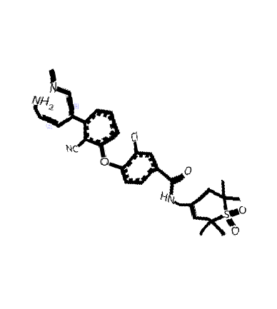 C=N/C=C(\C=C/N)c1cccc(Oc2ccc(C(=O)NC3CC(C)(C)S(=O)(=O)C(C)(C)C3)cc2Cl)c1C#N